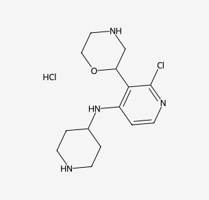 Cl.Clc1nccc(NC2CCNCC2)c1C1CNCCO1